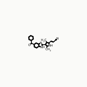 Cc1[nH]c(/C=C/C#N)c(C)c1-c1nc2cc(C(=O)c3ccccc3)ccc2[nH]1